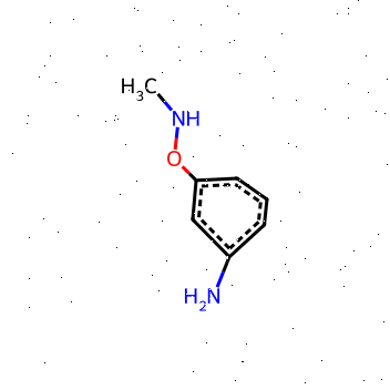 CNOc1cccc(N)c1